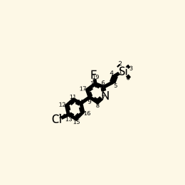 C[Si](C)(C)C#Cc1ncc(-c2ccc(Cl)cc2)cc1F